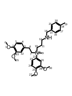 COc1ccc(CC[N+](C)(CCCNCc2ccc(C)cc2)c2ccc(OC)c(OC)c2)cc1OC